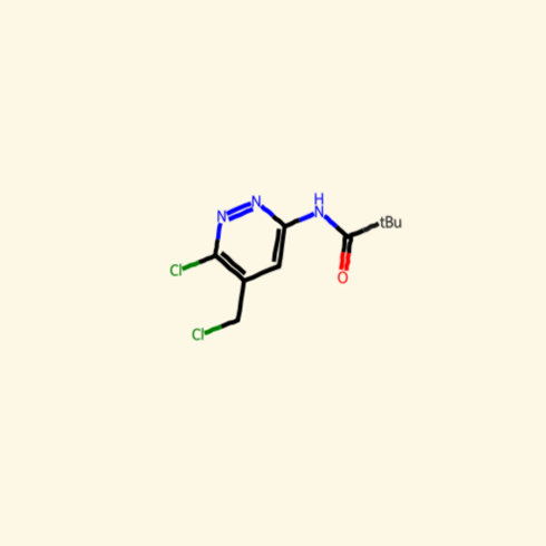 CC(C)(C)C(=O)Nc1cc(CCl)c(Cl)nn1